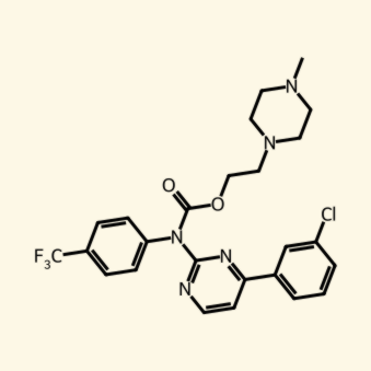 CN1CCN(CCOC(=O)N(c2ccc(C(F)(F)F)cc2)c2nccc(-c3cccc(Cl)c3)n2)CC1